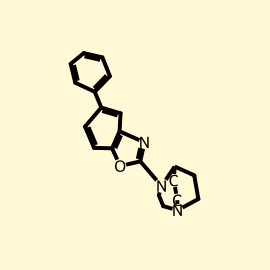 c1ccc(-c2ccc3oc(N4CCN5CCC4CC5)nc3c2)cc1